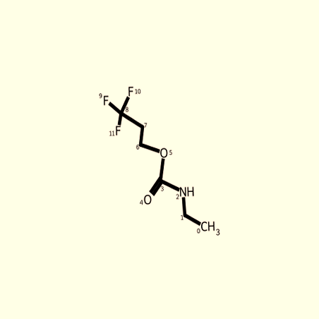 CCNC(=O)OCCC(F)(F)F